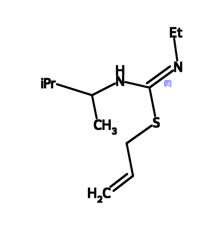 C=CCS/C(=N/CC)NC(C)C(C)C